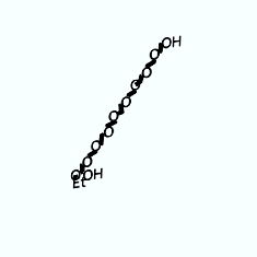 CCOC(O)COCCOCCOCCOCCOCCOCCOCCOCCO